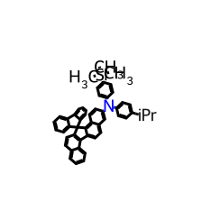 CC(C)c1ccc(N(c2ccc([Si](C)(C)C)cc2)c2ccc3c4c(ccc3c2)-c2c(ccc3ccccc23)C42c3ccccc3-c3ccccc32)cc1